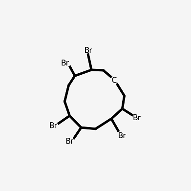 BrC1CCCC(Br)C(Br)CC(Br)C(Br)CCC1Br